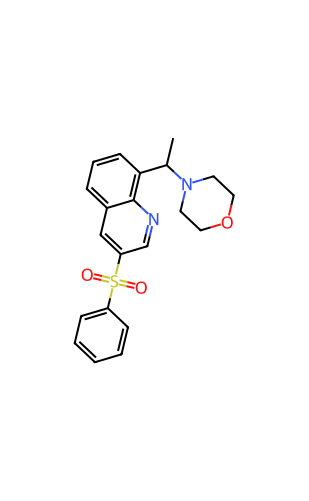 CC(c1cccc2cc(S(=O)(=O)c3ccccc3)cnc12)N1CCOCC1